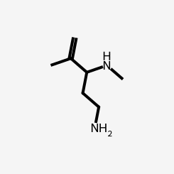 C=C(C)C(CCN)NC